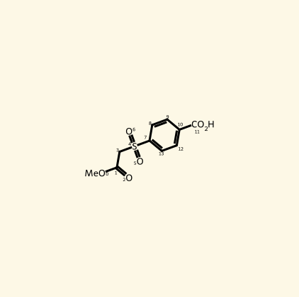 COC(=O)CS(=O)(=O)c1ccc(C(=O)O)cc1